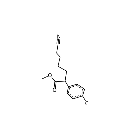 COC(=O)C(CCCCC#N)c1ccc(Cl)cc1